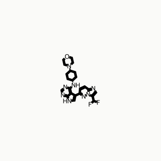 FC(F)c1cnc2ccc(-c3c[nH]c4ncnc(N[C@H]5CC[C@H](N6CCOCC6)CC5)c34)nn12